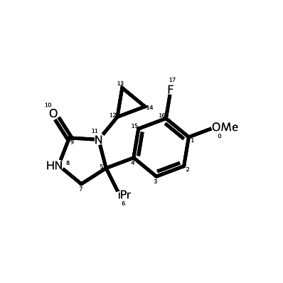 COc1ccc(C2(C(C)C)CNC(=O)N2C2CC2)cc1F